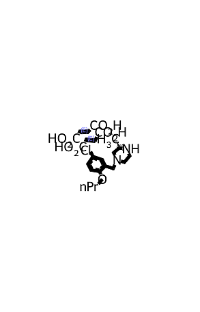 CCCOc1ccc(Cl)cc1CN1CCN[C@@H](C)C1.O=C(O)/C=C/C(=O)O.O=C(O)/C=C/C(=O)O